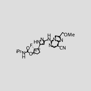 COCc1cn2c(Nc3cc([C@H]4CC[C@@H](OC(=O)NC(C)C)[C@@H]4F)[nH]n3)ncc(C#N)c2n1